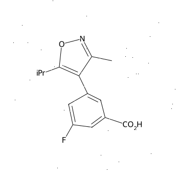 Cc1noc(C(C)C)c1-c1cc(F)cc(C(=O)O)c1